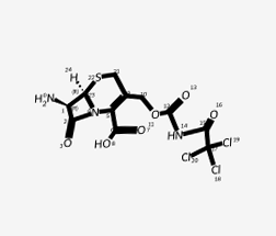 N[C@@H]1C(=O)N2C(C(=O)O)=C(COC(=O)NC(=O)C(Cl)(Cl)Cl)CS[C@H]12